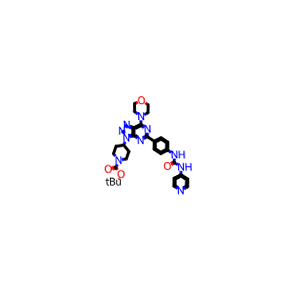 CC(C)(C)OC(=O)N1CCC(n2nnc3c(N4CCOCC4)nc(-c4ccc(NC(=O)Nc5ccncc5)cc4)nc32)CC1